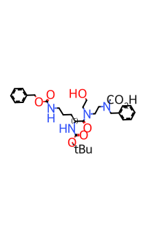 CC(C)(C)OC(=O)N[C@@H](CCCNC(=O)OCc1ccccc1)C(=O)N(CCO)CCN(Cc1ccccc1)C(=O)O